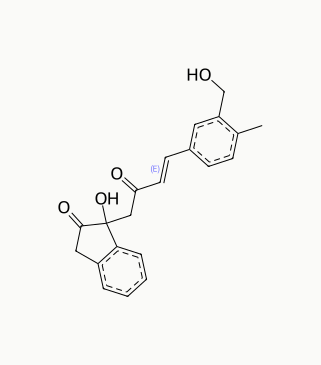 Cc1ccc(/C=C/C(=O)CC2(O)C(=O)Cc3ccccc32)cc1CO